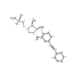 NS(=O)(=O)OC[C@H]1C[C@@H](Nc2cc(C#Cc3ccccc3)ncn2)[C@H](O)[C@@H]1O